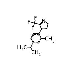 Cc1cc(C(C)C)ccc1C1=CCN=C1C(F)(F)F